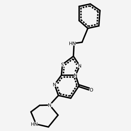 O=c1cc(N2CCNCC2)nc2sc(NCc3ccccc3)nn12